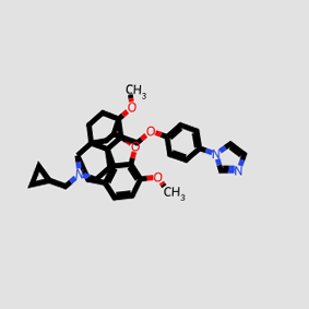 COc1ccc2c3c1OC1C4(OC)CCC5(CC4COc4ccc(-n6ccnc6)cc4)C(C2)N(CC2CC2)CCC315